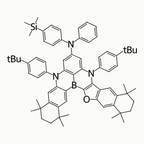 CC(C)(C)c1ccc(N2c3cc4c(cc3B3c5oc6cc7c(cc6c5N(c5ccc(C(C)(C)C)cc5)c5cc(N(c6ccccc6)c6ccc([Si](C)(C)C)cc6)cc2c53)C(C)(C)CCC7(C)C)C(C)(C)CCC4(C)C)cc1